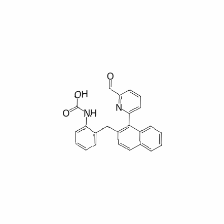 O=Cc1cccc(-c2c(Cc3ccccc3NC(=O)O)ccc3ccccc23)n1